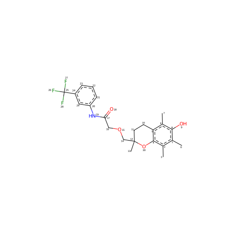 Cc1c(C)c2c(c(C)c1O)CCC(C)(COCC(=O)Nc1cccc(C(F)(F)F)c1)O2